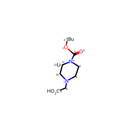 CC(C)(C)OC(=O)N1CCN(CC(=O)O)CC1.[Li]